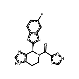 O=C(c1nncs1)N1CCc2[nH]cnc2[C@H]1c1nc2cc(F)ccc2s1